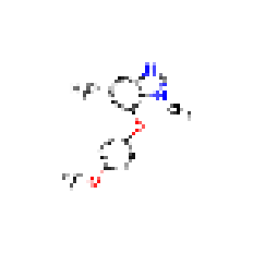 Cc1cc(Oc2ccc(OC(F)(F)F)cc2)c2c(c1)ncn2C